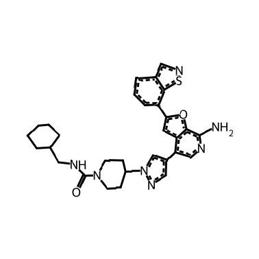 Nc1ncc(-c2cnn(C3CCN(C(=O)NCC4CCCCC4)CC3)c2)c2cc(-c3cccc4cnsc34)oc12